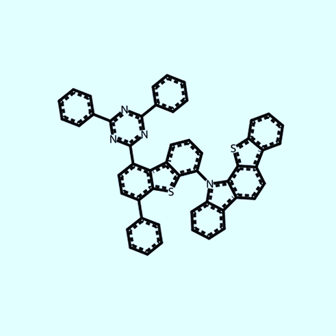 c1ccc(-c2nc(-c3ccccc3)nc(-c3ccc(-c4ccccc4)c4sc5c(-n6c7ccccc7c7ccc8c9ccccc9sc8c76)cccc5c34)n2)cc1